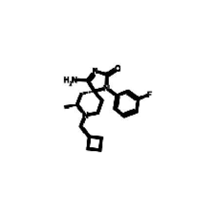 C[C@H]1C[C@]2(CCN1CC1CCC1)C(N)=NC(=O)N2c1cccc(F)c1